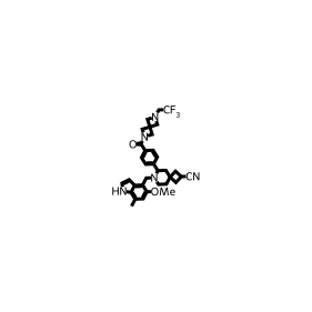 COc1cc(C)c2[nH]ccc2c1CN1CCC2(CC(C#N)C2)CC1c1ccc(C(=O)N2CC3(CN(CC(F)(F)F)C3)C2)cc1